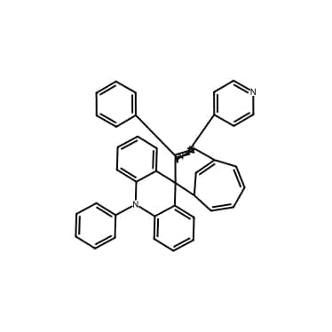 C1=CC2=CC(C=C1)C1(c3ccccc3N(c3ccccc3)c3ccccc31)c1nc(-c3ccccc3)nc(-c3ccncc3)c12